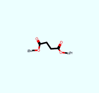 CCCOC(=O)CCC(=O)OC(C)CC